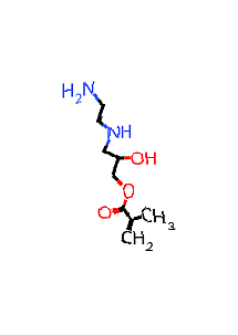 C=C(C)C(=O)OCC(O)CNCCN